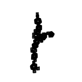 Cc1nc(NC2CCCC2)ccc1S(=O)(=O)N1Cc2cc3c(cc2CC1C(=O)N[C@@H](Cc1ccc(-c2ccc(C#N)cc2)cc1)C(=O)O)OC[C@H](c1ccc(OCc2ccc(Cl)c(Cl)c2)cc1)O3